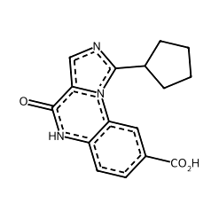 O=C(O)c1ccc2[nH]c(=O)c3cnc(C4CCCC4)n3c2c1